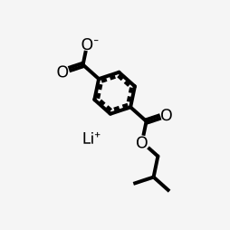 CC(C)COC(=O)c1ccc(C(=O)[O-])cc1.[Li+]